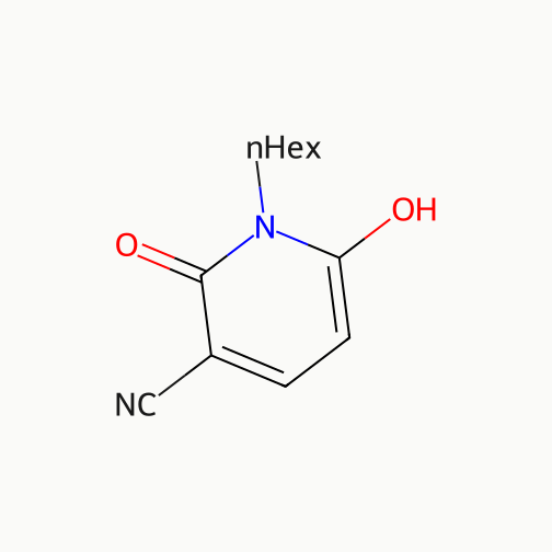 CCCCCCn1c(O)ccc(C#N)c1=O